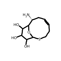 N[C@@H]1C/C=C\CCSC2OC1C(O)C(O)C2O